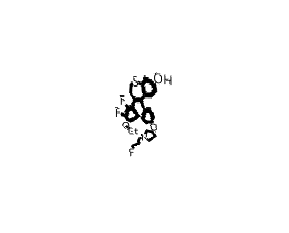 CCOc1ccc(C2=C(c3ccc(O[C@H]4CCN(CCCF)C4)cc3)c3ccc(O)cc3SCC2)c(F)c1F